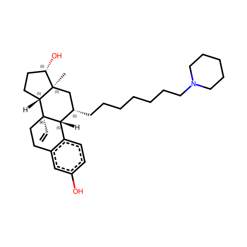 C=C[C@@]12CCc3cc(O)ccc3[C@H]1[C@@H](CCCCCCCN1CCCCC1)C[C@@]1(C)[C@H]2CC[C@@H]1O